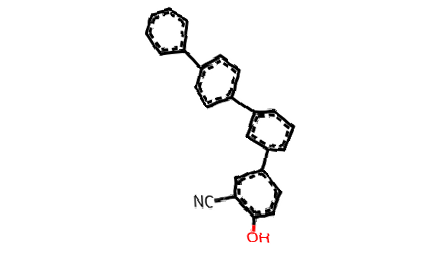 N#Cc1cc(-c2cccc(-c3ccc(-c4ccccc4)cc3)c2)ccc1O